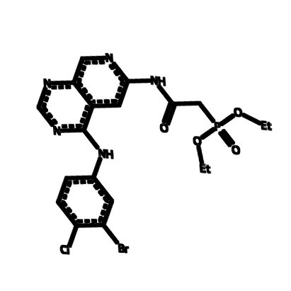 CCOP(=O)(CC(=O)Nc1cc2c(Nc3ccc(Cl)c(Br)c3)ncnc2cn1)OCC